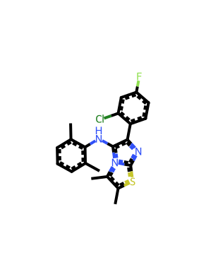 Cc1cccc(C)c1Nc1c(-c2ccc(F)cc2Cl)nc2sc(C)c(C)n12